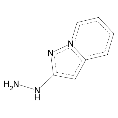 NNc1cc2ccccn2n1